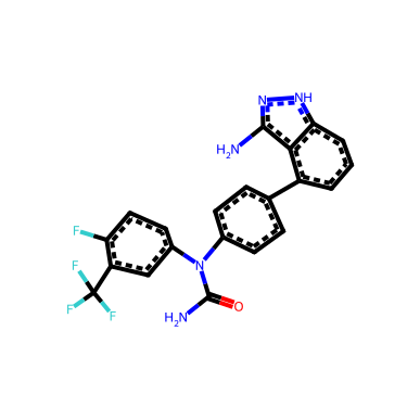 NC(=O)N(c1ccc(-c2cccc3[nH]nc(N)c23)cc1)c1ccc(F)c(C(F)(F)F)c1